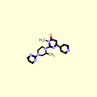 CC1CN(c2ncccn2)CCN1c1nc(-c2ccncc2)cc(=O)n1C